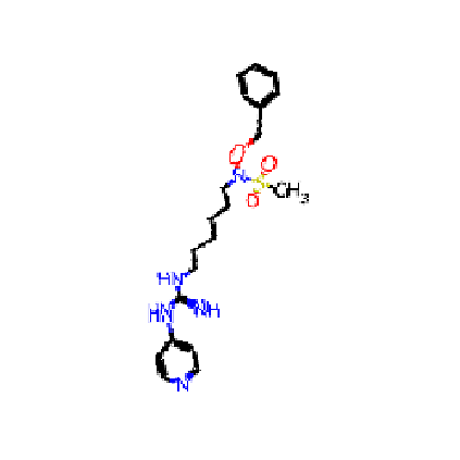 CS(=O)(=O)N(CCCCCCNC(=N)Nc1ccncc1)OCc1ccccc1